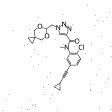 CN(C(=O)c1cn(CC2OCC3(CC3)CO2)nn1)c1cc(C#CC2CC2)ccc1Cl